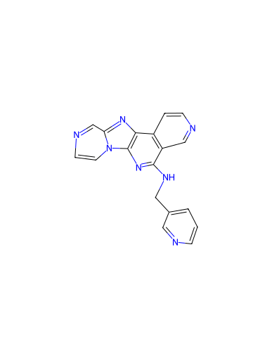 c1cncc(CNc2nc3c(nc4cnccn43)c3ccncc23)c1